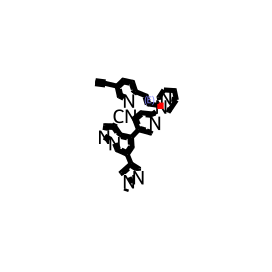 C#Cc1ccc(/C=C/CN2C3CC2CN(c2ccc(-c4cc(-c5cnn(C)c5)cn5ncc(C#N)c45)cn2)C3)nc1